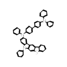 c1ccc(N(c2ccccc2)c2ccc(-c3ccc(N(c4ccccc4)c4ccc5c(c4)c4cc6c(cc4n5-c4ccccc4)sc4ccccc46)cc3)cc2)cc1